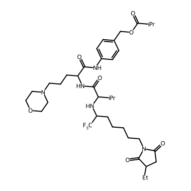 CCC1CC(=O)N(CCCCCC(NC(C(=O)NC(CCCN2CCOCC2)C(=O)Nc2ccc(COC(=O)C(C)C)cc2)C(C)C)C(F)(F)F)C1=O